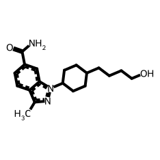 Cc1nn(C2CCC(CCCCO)CC2)c2cc(C(N)=O)ccc12